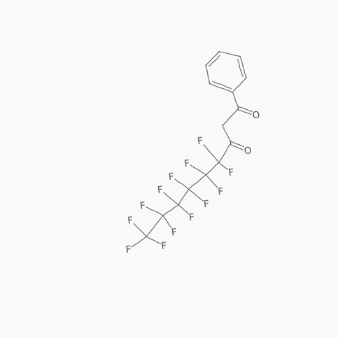 O=C(CC(=O)C(F)(F)C(F)(F)C(F)(F)C(F)(F)C(F)(F)C(F)(F)F)c1ccccc1